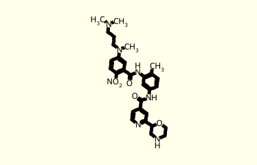 Cc1ccc(NC(=O)c2ccnc(C3CNCCO3)c2)cc1NC(=O)c1cc(N(C)CCCN(C)C)ccc1[N+](=O)[O-]